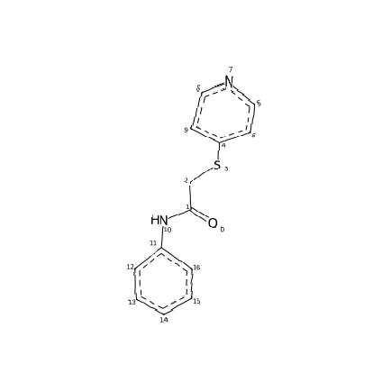 O=C(CSc1ccncc1)Nc1ccccc1